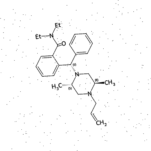 C=CCN1C[C@H](C)N([C@@H](c2ccccc2)c2ccccc2C(=O)N(CC)CC)C[C@H]1C